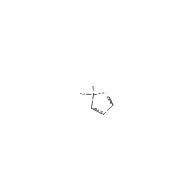 CC1(Cl)C=CC=N1